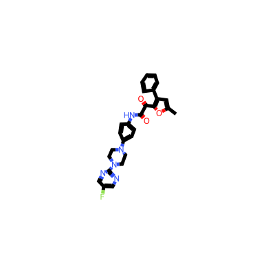 Cc1cc(-c2ccccc2)c(C(=O)C(=O)Nc2ccc(N3CCN(c4ncc(F)cn4)CC3)cc2)o1